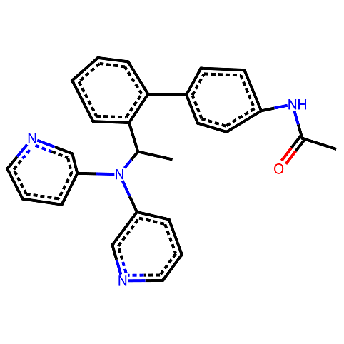 CC(=O)Nc1ccc(-c2ccccc2C(C)N(c2cccnc2)c2cccnc2)cc1